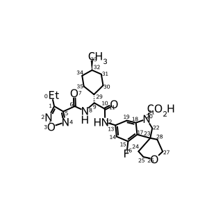 CCc1nonc1C(=O)NC(C(=O)Nc1cc(F)c2c(c1)N(C(=O)O)CC21CCOCC1)[C@H]1CC[C@H](C)CC1